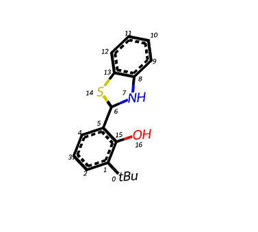 CC(C)(C)c1c[c]cc(C2Nc3ccccc3S2)c1O